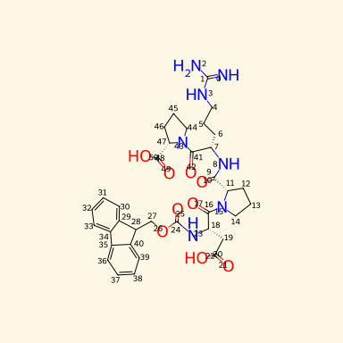 N=C(N)NCCC[C@H](NC(=O)[C@@H]1CCCN1C(=O)[C@H](CC(=O)O)NC(=O)OCC1c2ccccc2-c2ccccc21)C(=O)N1CCC[C@H]1C(=O)O